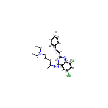 CCN(CC)CCCC(C)Nc1nc(/C=C/c2ccc(F)cc2)nc2c(Br)cc(Br)cc12